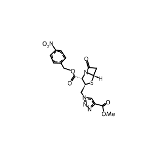 COC(=O)c1cn(C[C@@H]2S[C@H]3CC(=O)N3[C@H]2C(=O)OCc2ccc([N+](=O)[O-])cc2)nn1